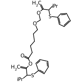 C=C(OCOCCCCCC(=O)OC(=C)C(Sc1ccccc1)C(C)C)C(Sc1ccccc1)C(C)C